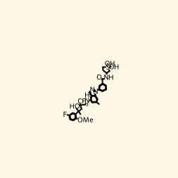 COc1ccc(F)cc1C(C)(C)CC(O)(CNc1cc(C)cc2c1cnn2-c1cccc(C(=O)NC2CCS(O)(O)C2)c1)C(F)(F)F